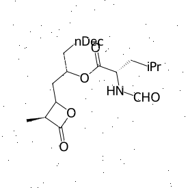 CCCCCCCCCCCC(CC1OC(=O)[C@H]1C)OC(=O)[C@H](CC(C)C)NC=O